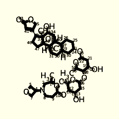 CC1CN(C2COC2)CCC(O[C@H]2[C@@H](O)C[C@H](O[C@H]3[C@@H](O)C[C@H](O[C@H]4CC[C@@]5(C)[C@H](CC[C@@H]6[C@@H]5C[C@@H](O)[C@]5(C)[C@@H](C7=CC(=O)OC7)CC[C@]65O)C4)O[C@@H]3C)O[C@@H]2C)O1